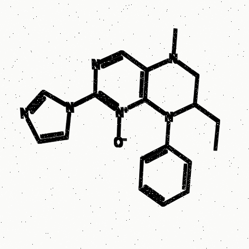 CCC1CN(C)c2cnc(-n3ccnc3)[n+]([O-])c2N1c1ccccc1